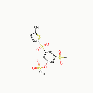 CS(=O)(=O)c1cc(OS(=O)(=O)C(F)(F)F)cc(S(=O)(=O)c2ccc(C#N)s2)c1